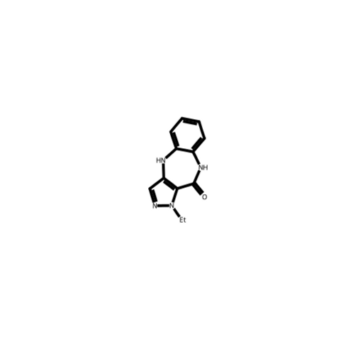 CCn1ncc2c1C(=O)Nc1ccccc1N2